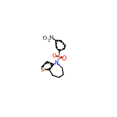 O=[N+]([O-])c1cccc(S(=O)(=O)N2CCCCc3sccc32)c1